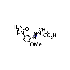 COc1ccc(NC(N)=O)cc1/N=N/N(C)CC(=O)O